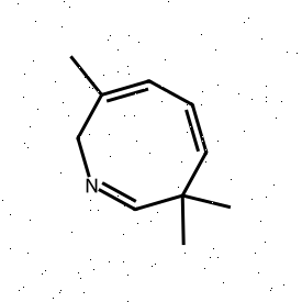 C/C1=C/C=C\C(C)(C)/C=N\C1